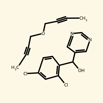 CC#CCOCC#CC.OC(c1cncnc1)c1ccc(Cl)cc1Cl